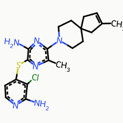 CC1=CCC2(CCN(c3nc(N)c(Sc4ccnc(N)c4Cl)nc3C)CC2)C1